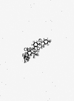 CCN(C(=O)c1ccc(F)cc1F)c1cccc(C(=O)Nc2c(Cl)cc(C(F)(C(F)(F)F)C(F)(F)F)cc2OC(F)F)c1OC